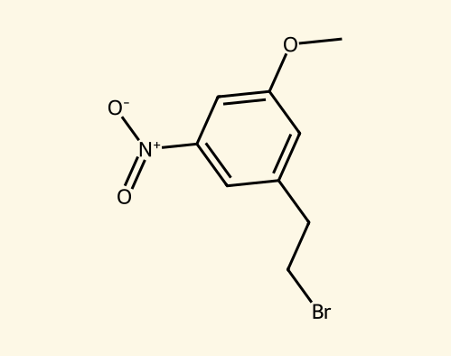 COc1cc(CCBr)cc([N+](=O)[O-])c1